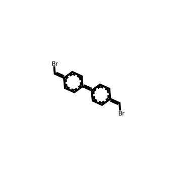 BrC=c1ccc(=c2ccc(=CBr)cc2)cc1